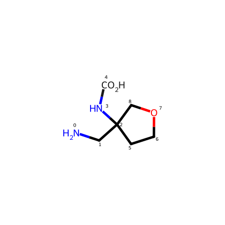 NCC1(NC(=O)O)CCOC1